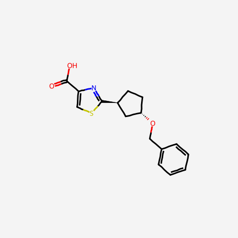 O=C(O)c1csc([C@H]2CC[C@H](OCc3ccccc3)C2)n1